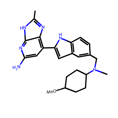 COC1CCC(N(C)Cc2ccc3[nH]c(-c4cc(N)nc5[nH]c(C)nc45)cc3c2)CC1